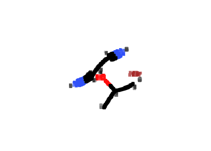 Br.CC(C)O.N#CC#N